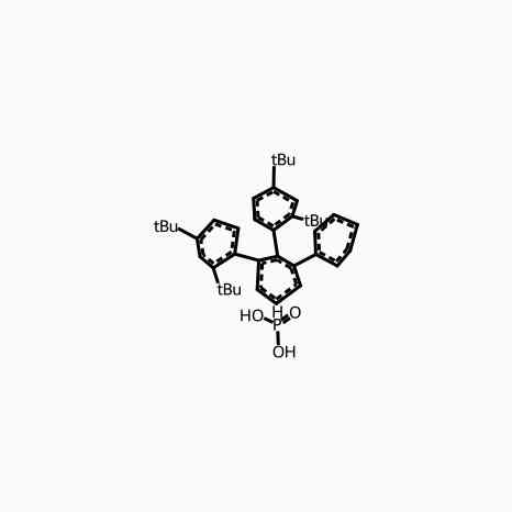 CC(C)(C)c1ccc(-c2cccc(-c3ccccc3)c2-c2ccc(C(C)(C)C)cc2C(C)(C)C)c(C(C)(C)C)c1.O=[PH](O)O